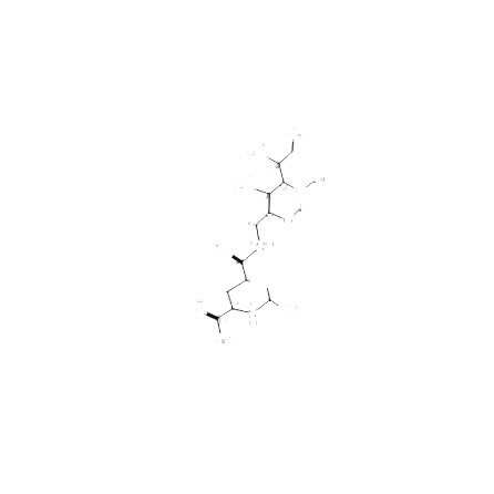 CC(I)NC(CCC(=O)NCC(OI)C(O)C(OI)C(O)CO)C(=O)C(C)C